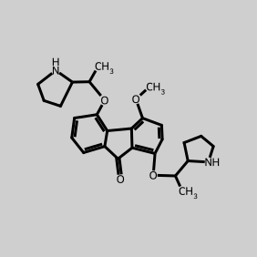 COc1ccc(OC(C)C2CCCN2)c2c1-c1c(OC(C)C3CCCN3)cccc1C2=O